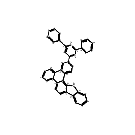 c1ccc(-c2cc(-c3ccc4c(c3)c3ccccc3c3ccc5c6ccccc6oc5c34)nc(-c3ccccc3)n2)cc1